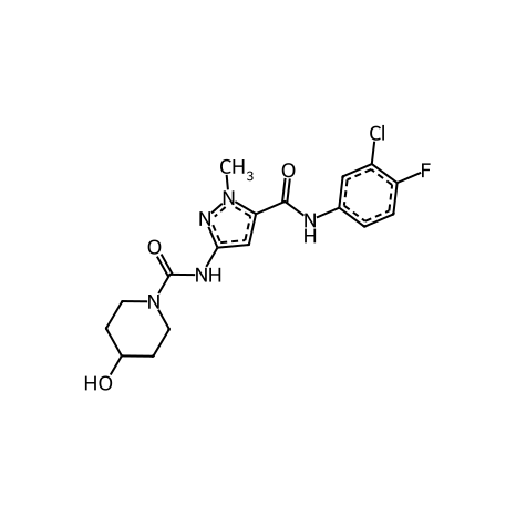 Cn1nc(NC(=O)N2CCC(O)CC2)cc1C(=O)Nc1ccc(F)c(Cl)c1